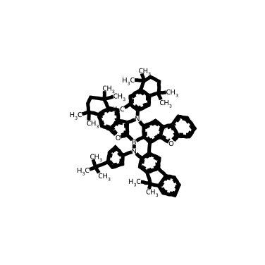 Cc1cc2c(cc1N1c3cc4c(oc5ccccc54)c4c3B(c3oc5cc6c(cc5c31)C(C)(C)CCC6(C)C)N(c1ccc(C(C)(C)C)cc1)c1cc3c(cc1-4)-c1ccccc1C3(C)C)C(C)(C)CCC2(C)C